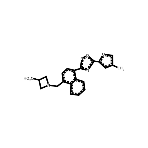 Cc1coc(-c2nc(-c3ccc(CN4CC(C(=O)O)C4)c4ccccc34)no2)c1